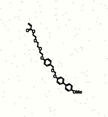 C=CC(=O)OCCOCCOCCOc1ccc(COCOc2ccc(-c3ccc(OC)cc3)cc2)cc1